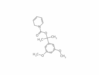 COc1cc(OC)cc(C(C)(C)OC(=O)N2C=CC=CC2)c1